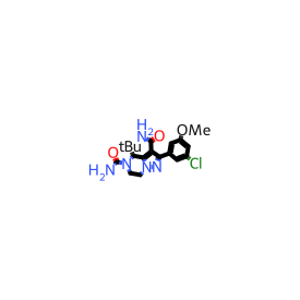 COc1cc(Cl)cc(-c2nn3c(c2C(N)=O)C(C(C)(C)C)N(C(N)=O)CC3)c1